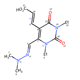 CCn1c(C=NN(C)C)c(/C=C/C(=O)O)c(=O)n(CC)c1=O